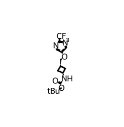 CC(C)(C)OC(=O)N[C@H]1C[C@@H](COc2cnc(C(F)(F)F)nc2)C1